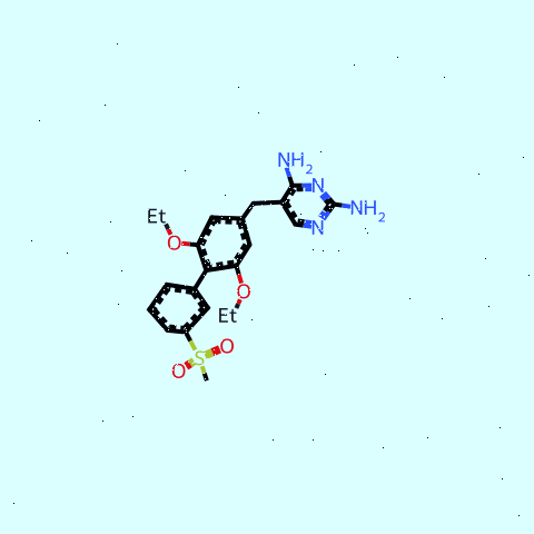 CCOc1cc(Cc2cnc(N)nc2N)cc(OCC)c1-c1cccc(S(C)(=O)=O)c1